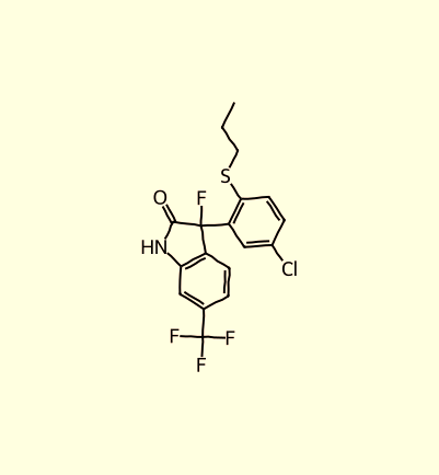 CCCSc1ccc(Cl)cc1C1(F)C(=O)Nc2cc(C(F)(F)F)ccc21